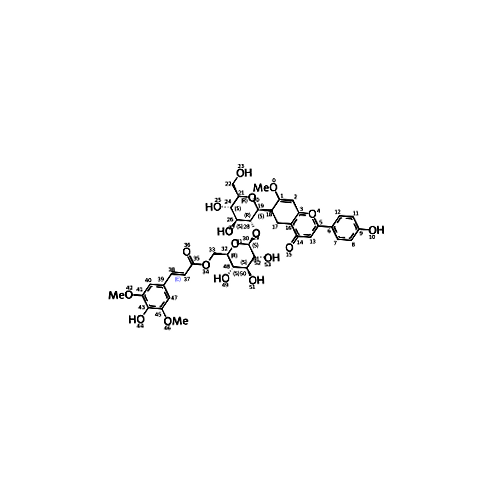 COC1=Cc2oc(-c3ccc(O)cc3)cc(=O)c2CC1[C@@H]1O[C@H](CO)[C@@H](O)[C@H](O)[C@H]1O[C@@H]1O[C@H](COC(=O)/C=C/c2cc(OC)c(O)c(OC)c2)[C@@H](O)[C@H](O)[C@H]1O